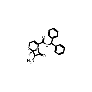 N[C@@H]1C(=O)N2C(C(=O)OC(c3ccccc3)c3ccccc3)=CCS[C@@H]12